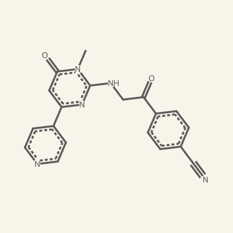 Cn1c(NCC(=O)c2ccc(C#N)cc2)nc(-c2ccncc2)cc1=O